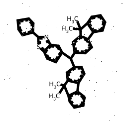 CC1(C)c2ccccc2-c2ccc(C(c3ccc4c(c3)C(C)(C)c3ccccc3-4)c3ccc4sc(-c5ccccc5)nc4c3)cc21